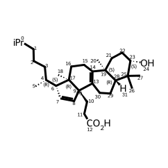 CC(C)CCC[C@@H](C)[C@H]1C=C[C@@]2(CCC(=O)O)C3=C(CC[C@]12C)[C@@]1(C)CC[C@H](O)C(C)(C)[C@@H]1CC3